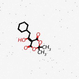 CC1(C)OC(=O)C(=C(O)CC2CCCCC2)C(=O)O1